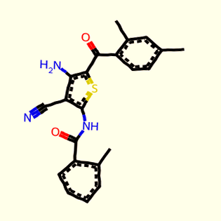 Cc1ccc(C(=O)c2sc(NC(=O)c3ccccc3C)c(C#N)c2N)c(C)c1